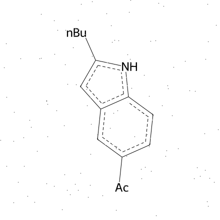 CCCCc1cc2cc(C(C)=O)ccc2[nH]1